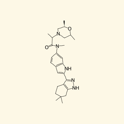 CC1CN(C(C)C(=O)N(C)c2ccc3cc(-c4n[nH]c5c4CCC(C)(C)C5)[nH]c3c2)C[C@@H](C)O1